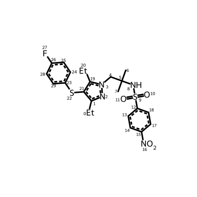 CCc1nn(CC(C)(C)NS(=O)(=O)c2ccc([N+](=O)[O-])cc2)c(CC)c1Sc1ccc(F)cc1